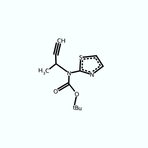 C#CC(C)N(C(=O)OC(C)(C)C)c1nccs1